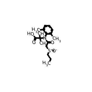 CCC[S+]([O-])CC(=O)N(c1c(C)cccc1C)C(C)(C)C(=O)O